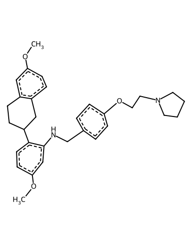 COc1ccc2c(c1)CCC(c1ccc(OC)cc1NCc1ccc(OCCN3CCCC3)cc1)C2